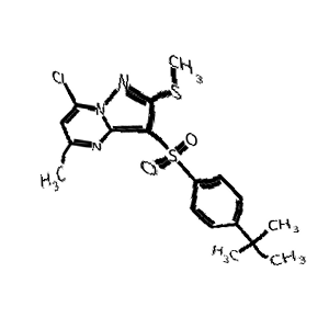 CSc1nn2c(Cl)cc(C)nc2c1S(=O)(=O)c1ccc(C(C)(C)C)cc1